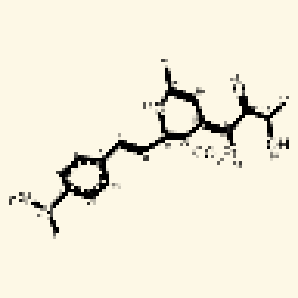 CCCN(C)c1ccc(C=CC2=C/C(=C(\C(=O)OCC)C(=O)C(C)O)C=C(C)O2)cc1